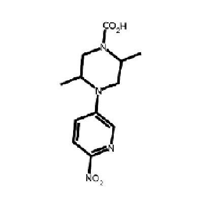 CC1CN(c2ccc([N+](=O)[O-])nc2)C(C)CN1C(=O)O